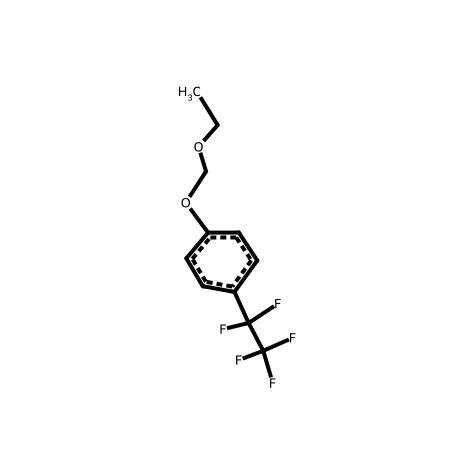 CCOCOc1ccc(C(F)(F)C(F)(F)F)cc1